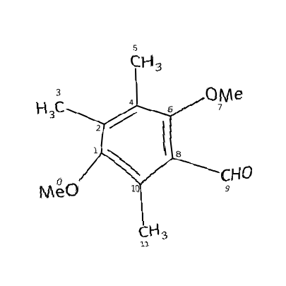 COc1c(C)c(C)c(OC)c(C=O)c1C